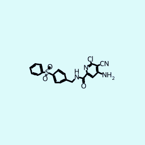 N#Cc1c(N)cc(C(=O)NCc2ccc(S(=O)(=O)c3ccccc3)cc2)nc1Cl